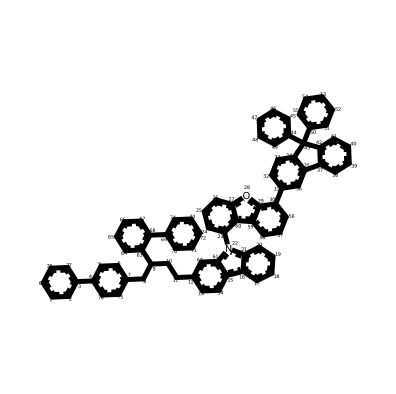 c1ccc(-c2ccc(CC(CCc3ccc4c5ccccc5n(-c5cccc6oc7c(-c8ccc9c(c8)-c8ccccc8C9(c8ccccc8)c8ccccc8)cccc7c56)c4c3)c3ccccc3-c3ccccc3)cc2)cc1